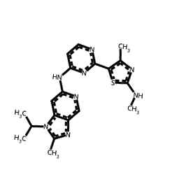 CNc1nc(C)c(-c2nccc(Nc3cc4c(cn3)nc(C)n4C(C)C)n2)s1